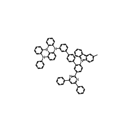 Cc1ccc2c(c1)c1ccccc1n2-c1ccc(-c2nc(-c3ccccc3)cc(-c3ccccc3)n2)cc1-c1ccc(-c2cccc(N3c4ccccc4B4c5ccccc5N(c5ccccc5)c5cccc3c54)c2)cc1